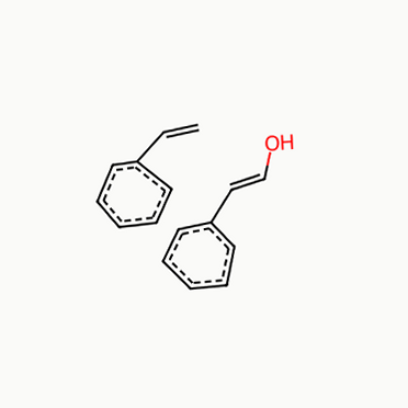 C=Cc1ccccc1.OC=Cc1ccccc1